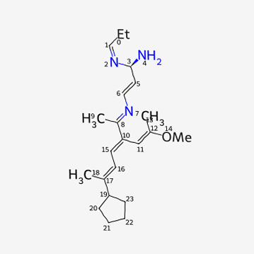 CC/C=N\[C@@H](N)/C=C/N=C(C)/C(/C=C(\C)OC)=C/C=C(\C)C1CCCC1